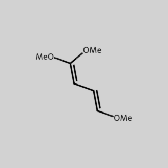 COC=CC=C(OC)OC